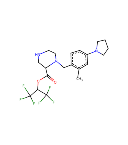 Cc1cc(N2CCCC2)ccc1CN1CCNCC1C(=O)OC(C(F)(F)F)C(F)(F)F